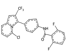 O=C(Nc1ccc(-c2c(C(F)(F)F)cc3cccc(Cl)n23)cc1)c1c(F)cccc1F